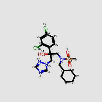 CS(=O)(=O)N(CC1CCCCC1)CC(O)(Cn1cncn1)c1ccc(Cl)cc1Cl